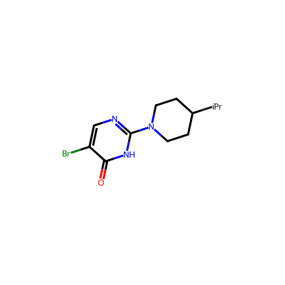 CC(C)C1CCN(c2ncc(Br)c(=O)[nH]2)CC1